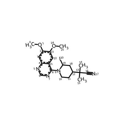 COc1cc2ncnc(N3CCC(C(C)(C)C#N)CC3I)c2cc1OC